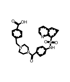 O=C(O)c1ccc(CN2CCN(C(=O)c3ccc(NS(=O)(=O)c4cccc5cccnc45)cc3)CC2)cc1